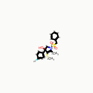 CSC1=C(C)N(S(=O)(=O)Cc2ccccc2)CC1(O)c1ccc(F)cc1